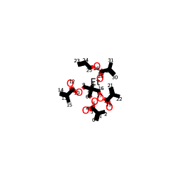 C=C(C)C(=O)OCC(CC)(COC(=O)C(=C)C)COC(=O)C(=C)C.C=CCOC(=O)C(=C)C